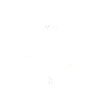 C1=CCC2C(=C1)OC1CNCCC12.COc1cccc(S)c1